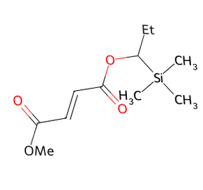 CCC(OC(=O)C=CC(=O)OC)[Si](C)(C)C